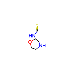 S=CNC1CNCCO1